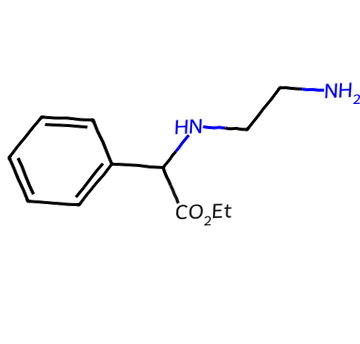 CCOC(=O)C(NCCN)c1ccccc1